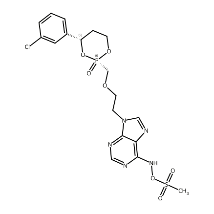 CS(=O)(=O)ONc1ncnc2c1ncn2CCOC[P@@]1(=O)OCC[C@@H](c2cccc(Cl)c2)O1